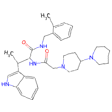 Cc1ccccc1CNC(=O)C(NC(=O)CN1CCC(N2CCCCC2)CC1)C(C)c1c[nH]c2ccccc12